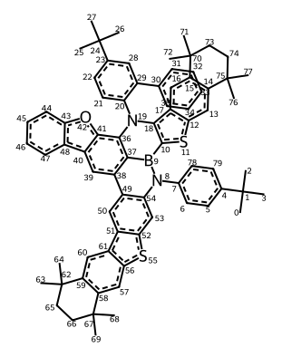 CC(C)(C)c1ccc(N2B3c4sc5cc6c(cc5c4N(c4ccc(C(C)(C)C)cc4-c4ccccc4)c4c3c(cc3c4oc4ccccc43)-c3cc4c(cc32)sc2cc3c(cc24)C(C)(C)CCC3(C)C)C(C)(C)CCC6(C)C)cc1